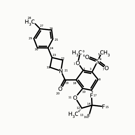 COc1c(S(C)(=O)=O)ccc(O[C@@H](C)C(F)(F)F)c1C(=O)N1CC(c2ccc(C)cc2)C1